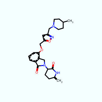 C=C1CCC(N2Cc3c(OCc4cc(CN5CCC(C)CC5)no4)cccc3C2=O)C(=O)N1